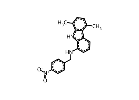 Cc1ccc(C)c2c1[nH]c1c(NCc3ccc([N+](=O)[O-])cc3)cccc12